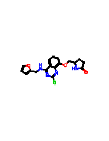 O=C1CCC(COc2cccc3c(NCc4ccco4)nc(Cl)nc23)N1